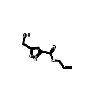 C=CCOC(=O)c1cc(CO)on1